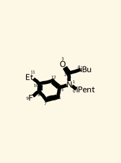 CCCC(C)N(C(=O)C(C)CC)c1ccc(F)c(CC)c1